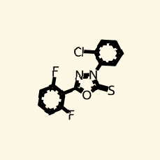 Fc1cccc(F)c1-c1nn(-c2ccccc2Cl)c(=S)o1